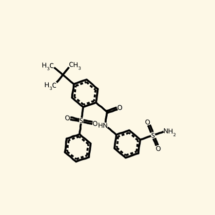 CC(C)(C)c1ccc(C(=O)Nc2cccc(S(N)(=O)=O)c2)c(S(=O)(=O)c2ccccc2)c1